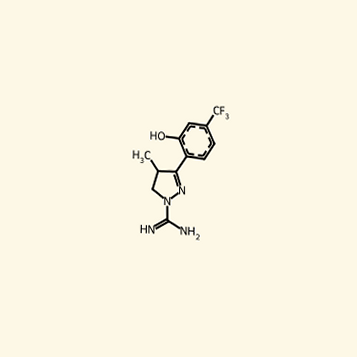 CC1CN(C(=N)N)N=C1c1ccc(C(F)(F)F)cc1O